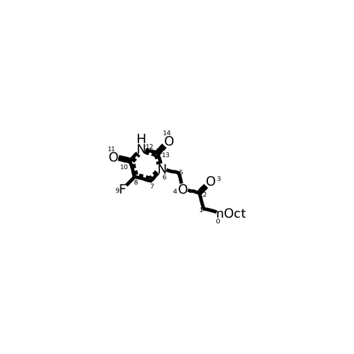 CCCCCCCCCC(=O)OCn1cc(F)c(=O)[nH]c1=O